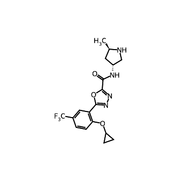 C[C@@H]1C[C@@H](NC(=O)c2nnc(-c3cc(C(F)(F)F)ccc3OC3CC3)o2)CN1